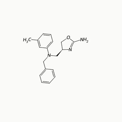 Cc1cccc(N(Cc2ccccc2)C[C@H]2COC(N)=N2)c1